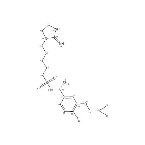 C[C@@H](NS(=O)(=O)CCCCCN1CCNC1=N)c1ccc(F)c(OCC2CC2)c1